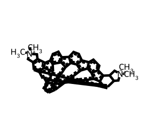 C[N+]1(C)Cc2c(c3c4ccc5c6ccc7c8ccc9c%10c%11c%12c(c2c2c3c3c4c5c4c6c7c5c8c9c%11c6c(c%122)c3c4c56)C2C[N+](C)(C)CC%102)C1